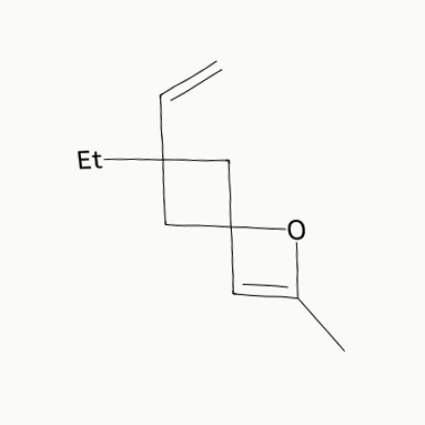 C=CC1(CC)CC2(C=C(C)O2)C1